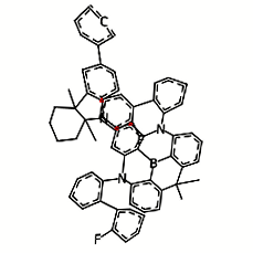 CC1(C)c2cccc3c2B2c4c(cc(N5c6ccc(-c7ccccc7)cc6C6(C)CCCCC56C)cc4N(c4ccccc4-c4ccccc4F)c4cccc1c42)N3c1ccccc1-c1ccccc1F